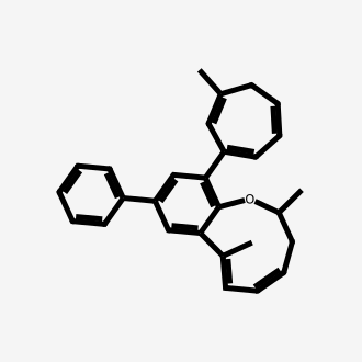 CC1=CC(c2cc(-c3ccccc3)cc3c2OC(C)C/C=C\C=C\3C)=CC=CC1